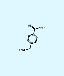 CNC(=N)c1ccc(CNC(C)=O)cc1